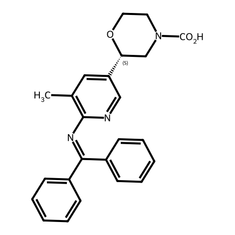 Cc1cc([C@H]2CN(C(=O)O)CCO2)cnc1N=C(c1ccccc1)c1ccccc1